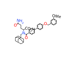 COc1cccc(COc2ccc(-c3ccc(C(=O)N(CC45CC6CC(CC(C6)C4)C5)[C@@H](CCC(N)=O)C(=O)O)cc3)cc2)c1